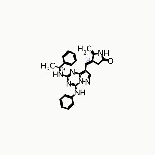 C=C1NC(=O)C/C1=C\c1cnn2c(Nc3ccccc3)nc(N[C@@H](C)c3ccccc3)nc12